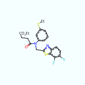 CCOC(=O)CCC(=O)N(Cc1nc2ccc(F)c(F)c2s1)c1cccc(SCC)c1